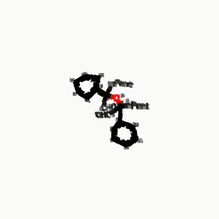 CCCCCC(C=O)(OC(C=O)(CCCCC)c1ccccc1)c1ccccc1